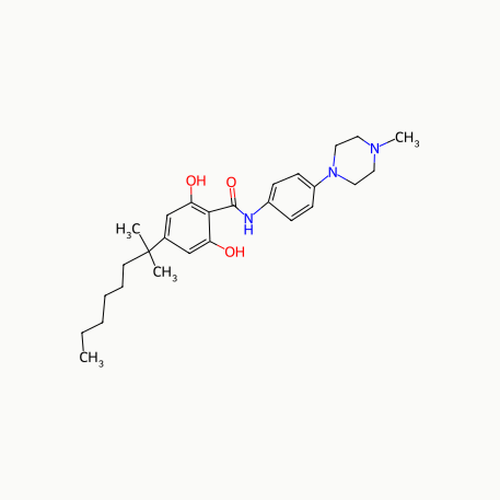 CCCCCCC(C)(C)c1cc(O)c(C(=O)Nc2ccc(N3CCN(C)CC3)cc2)c(O)c1